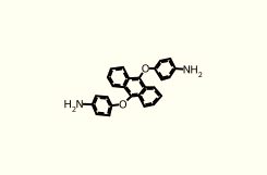 Nc1ccc(Oc2c3ccccc3c(Oc3ccc(N)cc3)c3ccccc23)cc1